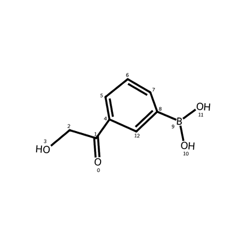 O=C(CO)c1cccc(B(O)O)c1